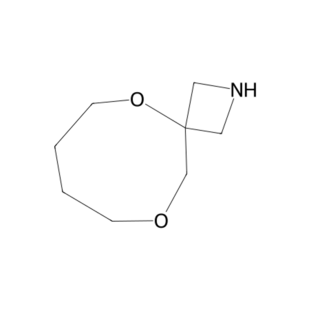 C1CCOC2(CNC2)COC1